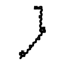 COCCCOCCCCc1cc(CCOCCCCOCCCc2cc(C)on2)on1